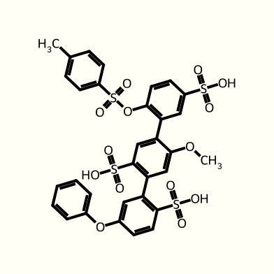 COc1cc(-c2cc(Oc3ccccc3)ccc2S(=O)(=O)O)c(S(=O)(=O)O)cc1-c1cc(S(=O)(=O)O)ccc1OS(=O)(=O)c1ccc(C)cc1